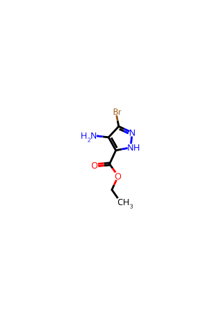 CCOC(=O)c1[nH]nc(Br)c1N